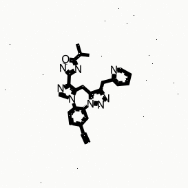 C#Cc1ccc2c(c1)-n1nnc(Cc3ccccn3)c1Cc1c(-c3noc(C(C)C)n3)ncn1-2